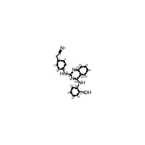 N#CCc1ccc(Nc2nc(Nc3ccccc3O)c3ccccc3n2)cc1